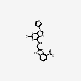 O=[N+]([O-])c1cccc2[nH]c(CNc3nc(Cl)nc4c3ncn4-c3ccsc3)nc12